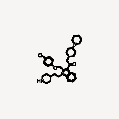 O=C(CC1CCC(N2CCCCC2)CC1)c1c(COc2ccc(Cl)cc2)n(CCC2CCNCC2)c2ccccc12